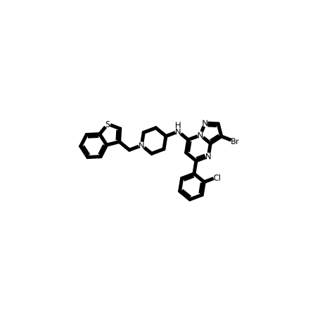 Clc1ccccc1-c1cc(NC2CCN(Cc3csc4ccccc34)CC2)n2ncc(Br)c2n1